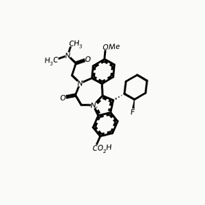 COc1ccc2c(c1)N(CC(=O)N(C)C)C(=O)Cn1c-2c([C@@H]2CCCC[C@H]2F)c2ccc(C(=O)O)cc21